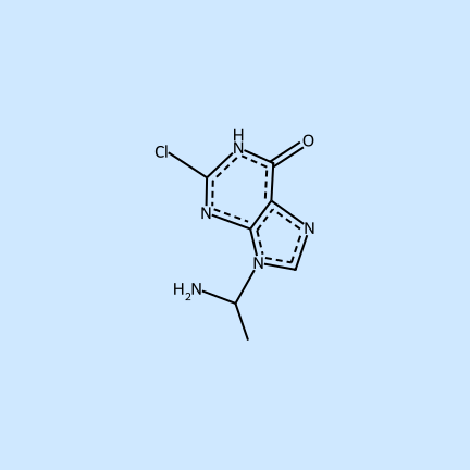 CC(N)n1cnc2c(=O)[nH]c(Cl)nc21